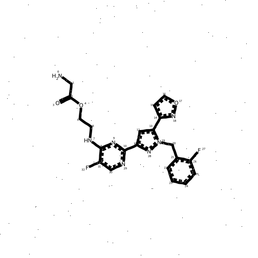 NCC(=O)OCCNc1nc(-c2cc(-c3ccon3)n(Cc3ccccc3F)n2)ncc1F